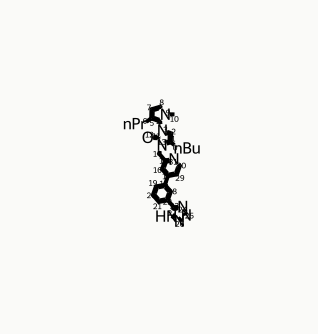 CCCCc1cn(-c2c(CCC)ccn2C)c(=O)n1Cc1cc(-c2cccc(-c3nnn[nH]3)c2)ccn1